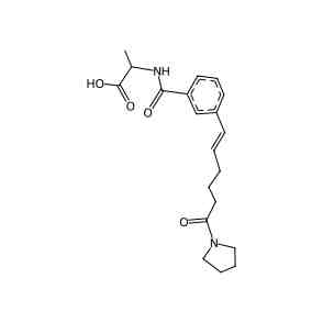 CC(NC(=O)c1cccc(C=CCCCC(=O)N2CCCC2)c1)C(=O)O